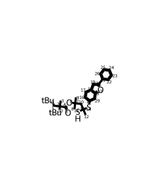 CC(C)(C)CC(C)(C(=O)OC(C)(C)CC(C)(S)Sc1ccc2cc(-c3ccccc3)oc2c1)C(C)(C)C